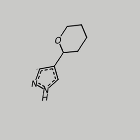 [c]1n[nH]cc1C1CCCCO1